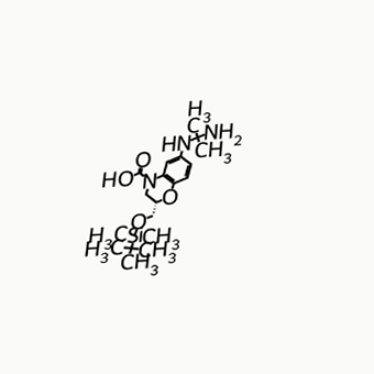 CC(C)(N)Nc1ccc2c(c1)N(C(=O)O)C[C@@H](CO[Si](C)(C)C(C)(C)C)O2